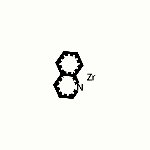 [Zr].c1ccc2ncccc2c1